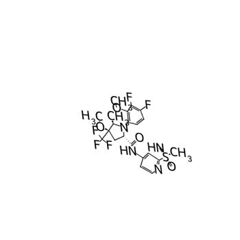 COc1c(N2[C@H](C(=O)Nc3ccnc([S@](C)(=N)=O)c3)C[C@](OC)(C(F)(F)F)[C@H]2C)ccc(F)c1F